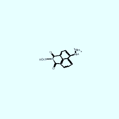 CCCCCCCCN1C(=O)c2cccc3c(NN)ccc(c23)C1=O